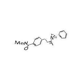 CNC(=O)c1ccc(CC[C@H](C)N2C[C@@H]2c2ccccc2)cc1